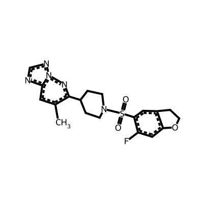 Cc1cc2ncnn2nc1C1CCN(S(=O)(=O)c2cc3c(cc2F)OCC3)CC1